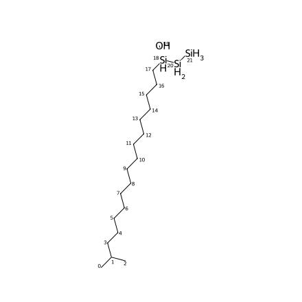 CC(C)CCCCCCCCCCCCCCC[SiH](O)[SiH2][SiH3]